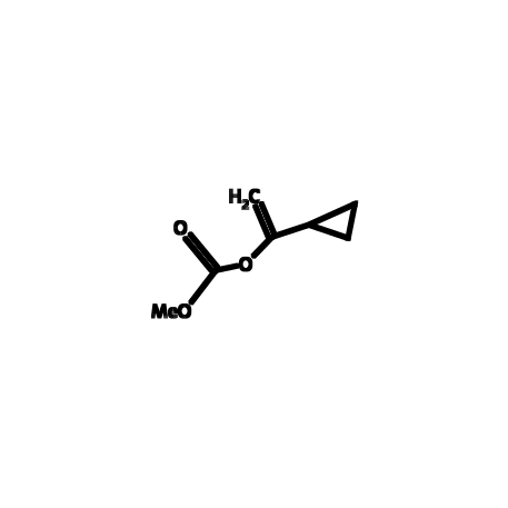 C=C(OC(=O)OC)C1CC1